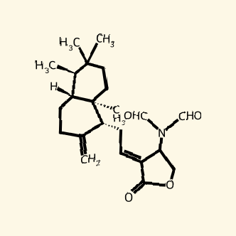 C=C1CC[C@@H]2[C@@H](C)C(C)(C)CC[C@@]2(C)[C@@H]1C/C=C1/C(=O)OCC1N(C=O)C=O